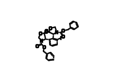 O=C1OCN(C(=O)OCc2ccccc2)C1c1cccc(I)c1C1C(=O)OCN1C(=O)OCc1ccccc1